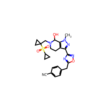 Cn1nc(-c2noc(Cc3ccc(C#N)cc3)n2)c2c1C(O)N(CC1(S(=O)(=O)C3CC3)CC1)CC2